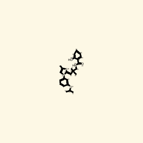 CC1=CN(c2cccc(OC(C)C)c2)C(=CC(C)(C)CNC(=O)c2ccccc2O)S1